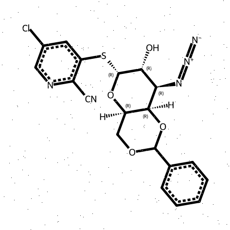 N#Cc1ncc(Cl)cc1S[C@H]1O[C@@H]2COC(c3ccccc3)O[C@@H]2[C@H](N=[N+]=[N-])[C@H]1O